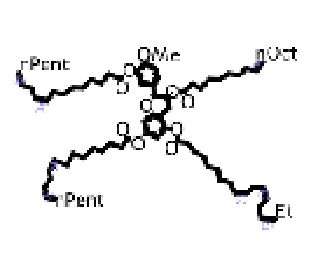 CC/C=C\C/C=C\C/C=C\CCCCCCCC(=O)Oc1cc(OC(=O)CCCCCCC/C=C\C/C=C\CCCCC)cc2c1C[C@@H](OC(=O)CCCCCCC/C=C\CCCCCCCC)C(c1ccc(OC)c(OC(=O)CCCCCCC/C=C\C/C=C\CCCCC)c1)O2